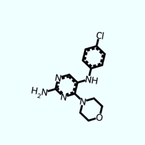 Nc1ncc(Nc2ccc(Cl)cc2)c(N2CCOCC2)n1